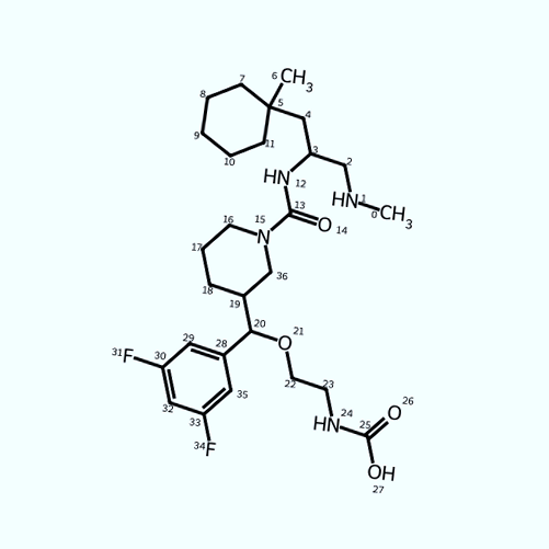 CNCC(CC1(C)CCCCC1)NC(=O)N1CCCC(C(OCCNC(=O)O)c2cc(F)cc(F)c2)C1